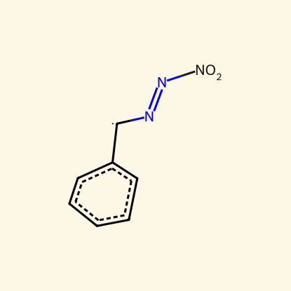 O=[N+]([O-])N=N[CH]c1ccccc1